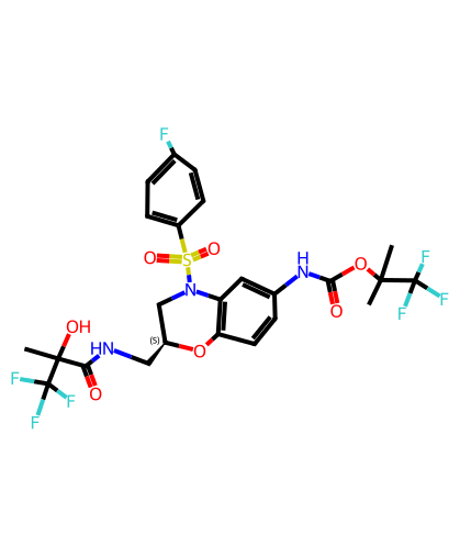 CC(C)(OC(=O)Nc1ccc2c(c1)N(S(=O)(=O)c1ccc(F)cc1)C[C@H](CNC(=O)C(C)(O)C(F)(F)F)O2)C(F)(F)F